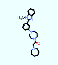 Cn1c(-c2cccc(N3CCCN(C(=O)CN4CCCCCC4)CC3)c2)nc2ccccc21